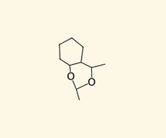 CC1OC(C)C2CCCCC2O1